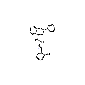 O=C(N/N=C/c1ccccc1O)c1cc(-c2ccccc2)cc2ccccc12